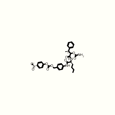 CCCC[C@H](NC(=O)C(OC(N)=O)[C@@H](C)c1ccccc1)C(=O)Nc1ccc(COC(=O)Oc2ccc([N+](=O)[O-])cc2)cc1